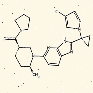 C[C@H]1CC[C@@H](C(=O)N2CCCC2)CN1c1ccc2nc(C3(n4cc(Cl)cn4)CC3)[nH]c2n1